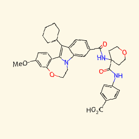 COc1ccc2c(c1)OCCn1c-2c(C2CCCCC2)c2ccc(C(=O)NC3(C(=O)Nc4ccc(C(=O)O)cc4)CCOCC3)cc21